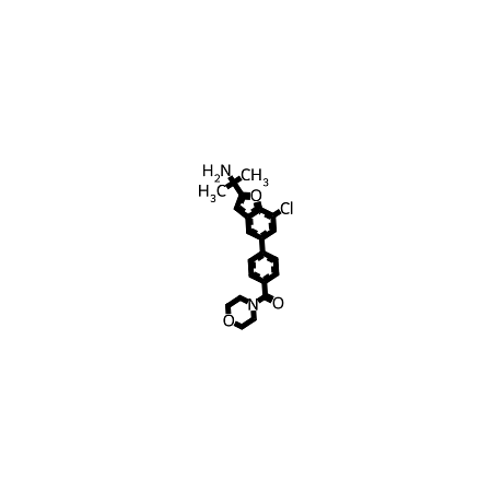 CC(C)(N)c1cc2cc(-c3ccc(C(=O)N4CCOCC4)cc3)cc(Cl)c2o1